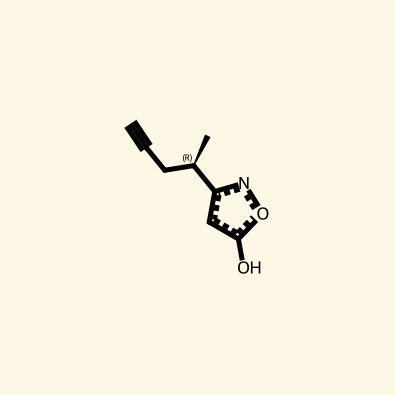 C#CC[C@@H](C)c1cc(O)on1